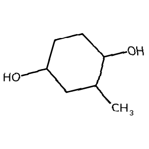 CC1CC(O)CCC1O